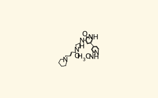 CNc1cc(-c2c[nH]c(=O)c(NC3CN(C(=O)C=CCN4CCCCC4)C3)c2)ccn1